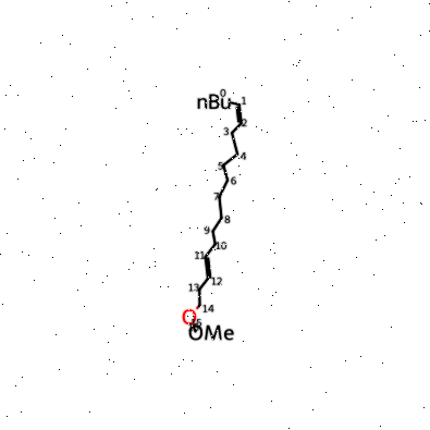 CCCC/C=C\CCCCCCCC/C=C/CCOOC